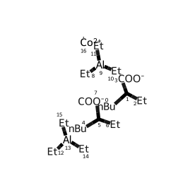 CCCCC(CC)C(=O)[O-].CCCCC(CC)C(=O)[O-].C[CH2][Al]([CH2]C)[CH2]C.C[CH2][Al]([CH2]C)[CH2]C.[Co+2]